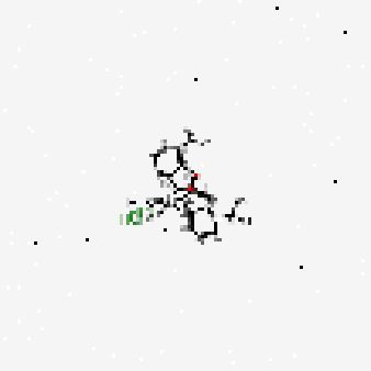 CC1=Cc2c(C(C)C)cccc2[CH]1[Ti]([CH3])([CH3])(=[SiH2])[CH]1C(C)=Cc2c(C(C)C)cccc21.Cl.Cl